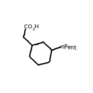 CCCCCC1CCCC(CC(=O)O)C1